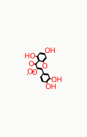 COOc1c(-c2ccc(O)c(O)c2)oc2cc(O)cc(O)c2c1=O